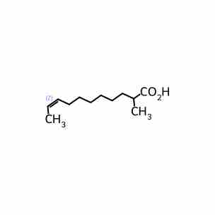 C/C=C\CCCCCCC(C)C(=O)O